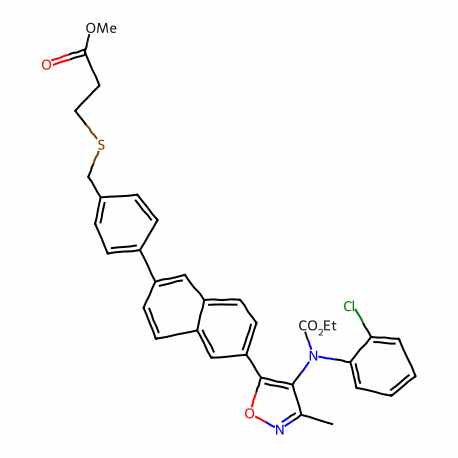 CCOC(=O)N(c1ccccc1Cl)c1c(C)noc1-c1ccc2cc(-c3ccc(CSCCC(=O)OC)cc3)ccc2c1